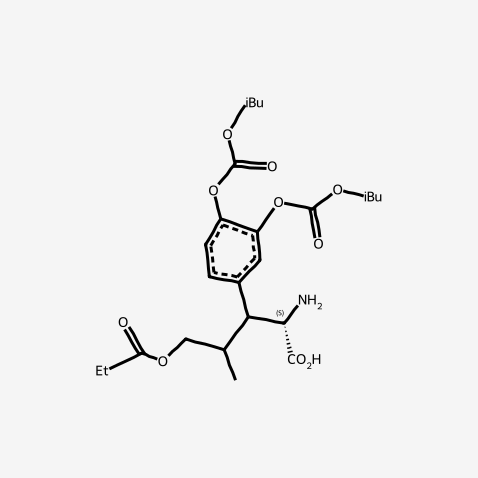 CCC(=O)OCC(C)C(c1ccc(OC(=O)OC(C)CC)c(OC(=O)OC(C)CC)c1)[C@H](N)C(=O)O